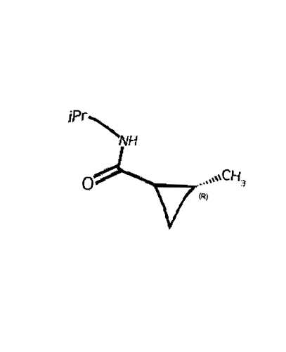 CC(C)NC(=O)C1C[C@H]1C